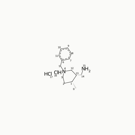 C[C@@H]1CCN(Cc2ccccc2)C[C@@H]1CN.Cl.Cl